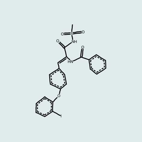 CS(=O)(=O)NC(=O)C(=Cc1ccc(Oc2ccccc2I)cc1)NC(=O)c1ccccc1